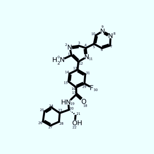 Nc1ncc(-c2ccnnc2)nc1-c1ccc(C(=O)N[C@H](CO)C2C=CC=CC2)c(F)c1